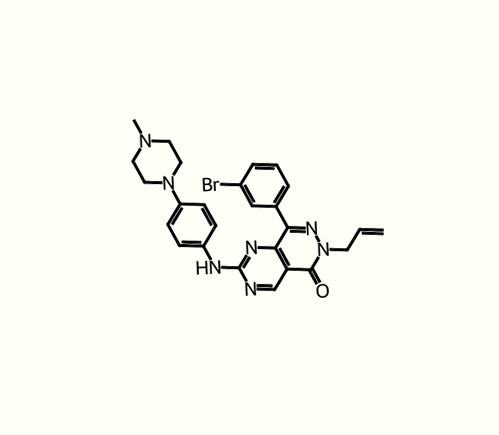 C=CCn1nc(-c2cccc(Br)c2)c2nc(Nc3ccc(N4CCN(C)CC4)cc3)ncc2c1=O